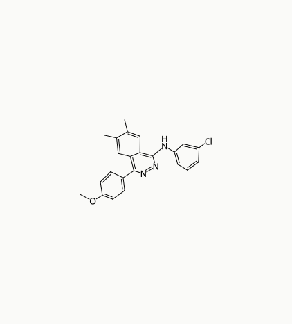 COc1ccc(-c2nnc(Nc3cccc(Cl)c3)c3cc(C)c(C)cc23)cc1